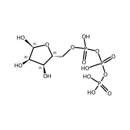 O=P(O)(O)OP(=O)(O)OP(=O)(O)OC[C@H]1O[C@H](O)[C@H](O)[C@@H]1O